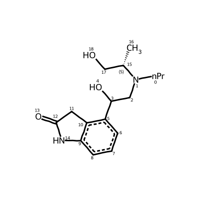 CCCN(CC(O)c1cccc2c1CC(=O)N2)[C@@H](C)CO